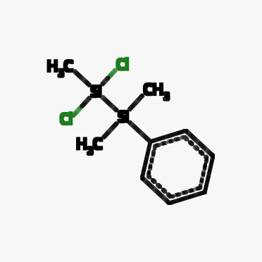 C[Si](Cl)(Cl)[Si](C)(C)c1ccccc1